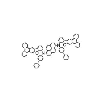 c1ccc(-c2ccc(N(c3ccc4ccc5c(N(c6ccc(-c7ccccc7)cc6)c6cccc7c6oc6cc8c9ccccc9c9ccccc9c8cc67)ccc6ccc3c4c65)c3cccc4c3oc3cc5c6ccccc6c6ccccc6c5cc34)cc2)cc1